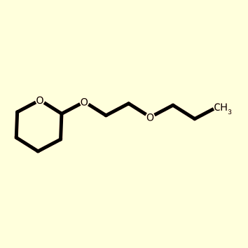 CCCOCCOC1CCCCO1